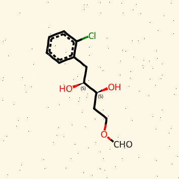 O=COCC[C@H](O)[C@@H](O)Cc1ccccc1Cl